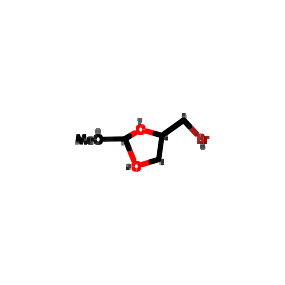 COC1OCC(CBr)O1